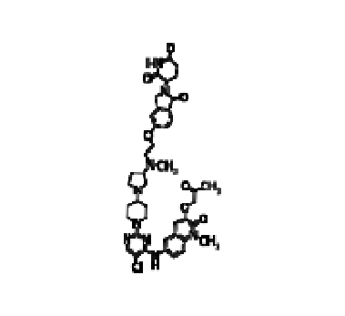 CC(=O)COc1cc2cc(Nc3nc(N4CCC(N5CCC(N(C)CCOc6ccc7c(c6)CN(C6CCC(=O)NC6=O)C7=O)C5)CC4)ncc3Cl)ccc2n(C)c1=O